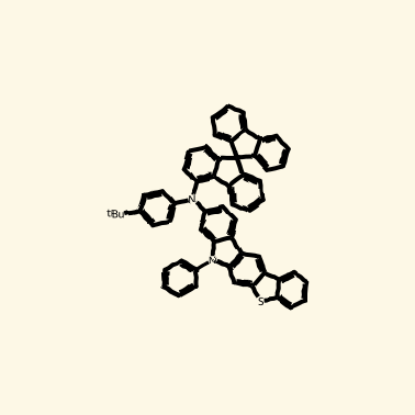 CC(C)(C)c1ccc(N(c2ccc3c4cc5c(cc4n(-c4ccccc4)c3c2)sc2ccccc25)c2cccc3c2-c2ccccc2C32c3ccccc3-c3ccccc32)cc1